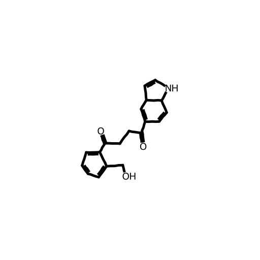 O=C(CCC(=O)c1ccccc1CO)C1=CC2C=CNC2C=C1